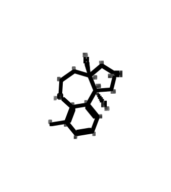 Cc1cccc2c1OCC[C@@H]1CNC[C@@H]21